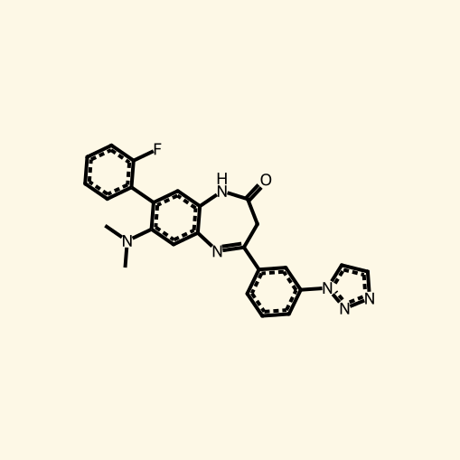 CN(C)c1cc2c(cc1-c1ccccc1F)NC(=O)CC(c1cccc(-n3ccnn3)c1)=N2